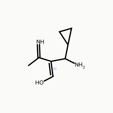 CC(=N)/C(=C\O)C(N)C1CC1